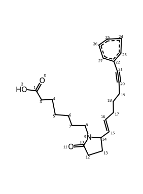 O=C(O)CCCCCCN1C(=O)CCC1/C=C/CCCC#Cc1ccccc1